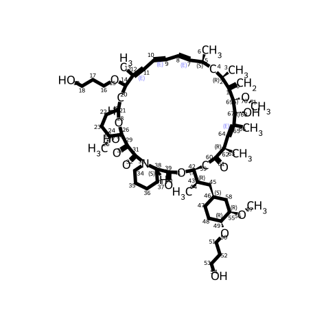 C=C1[C@H](C)C[C@H](C)/C=C/C=C/C=C(\C)C(OCCCO)C[C@@H]2CC[C@@H](C)[C@@](O)(O2)C(=O)C(=O)N2CCCC[C@H]2C(=O)O[C@H]([C@H](C)C[C@@H]2CC[C@@H](OCCCO)[C@H](OC)C2)CC(=O)[C@H](C)/C=C(\C)[C@@H](O)[C@H]1OC